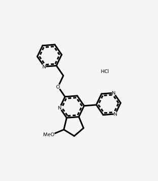 COC1CCc2c(-c3cncnc3)cc(OCc3ccccn3)nc21.Cl